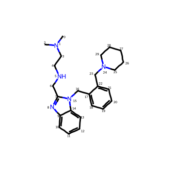 CN(C)CCNCc1nc2ccccc2n1Cc1ccccc1CN1CCCCC1